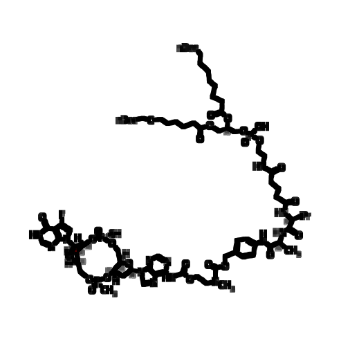 CCCCCCCCCCCCCCCCCC(=O)OC[C@H](COP(=O)(O)OCCNC(=O)CCCC(=O)N[C@H](C(=O)N[C@@H](C)C(=O)Nc1ccc(COC(=O)N(C)CCOC(=O)Nc2ncnc3c2ncn3[C@H]2C[C@@H]3O[P@@](C)(=O)OC[C@H]4O[C@@H](n5cc(F)c6c(=O)[nH]cnc65)[C@H](O[P@](=O)(S)OC[C@H]3O2)[C@@H]4O)cc1)C(C)C)OC(=O)CCCCCCCCCCCCCCCCC